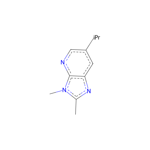 Cc1nc2cc(C(C)C)cnc2n1C